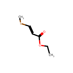 CCOC(=O)/C=C/SC